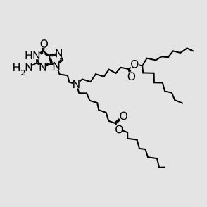 CCCCCCCCCOC(=O)CCCCCCCN(CCCCCCCC(=O)OC(CCCCCCCC)CCCCCCCC)CCCn1cnc2c(=O)[nH]c(N)nc21